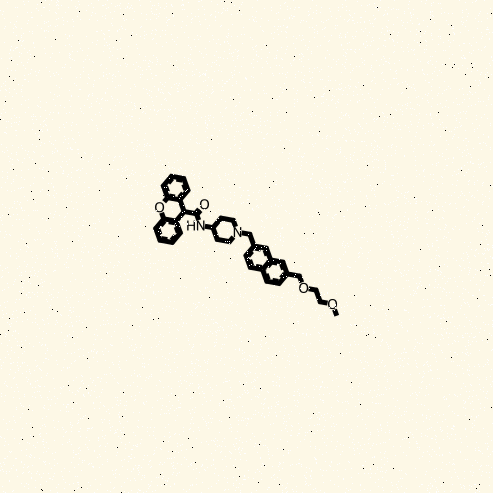 COCCOCc1ccc2ccc(CN3CCC(NC(=O)C4c5ccccc5Oc5ccccc54)CC3)cc2c1